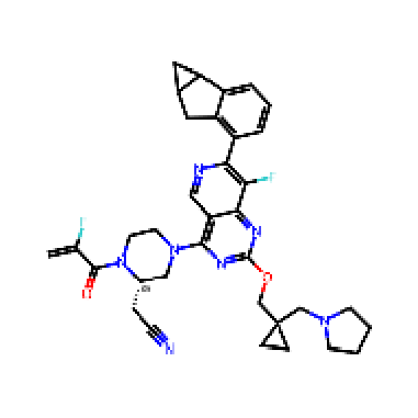 C=C(F)C(=O)N1CCN(c2nc(OCC3(CN4CCCC4)CC3)nc3c(F)c(-c4cccc5c4CC4CC54)ncc23)C[C@@H]1CC#N